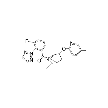 Cc1ccc(OC2CC3CC2N(C(=O)c2cccc(F)c2-n2nccn2)C3C)nc1